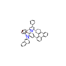 c1ccc(-c2cc(-c3ccccc3)nc(C3CCc4c(c5c(-c6ccc7c8ccccc8n(-c8ccc9ccccc9c8)c7c6)cccc5c5ccccc45)C3)c2)cc1